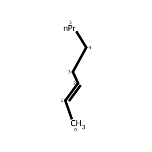 C/C=C/C[CH]CCC